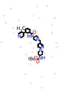 Cc1ccc(C(=O)NC2CCN(Cc3ccc(N4CCC(NC(=O)OC(C)(C)C)CC4)nc3)CC2)cc1-c1ccncc1